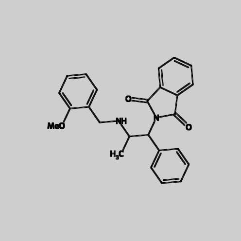 COc1ccccc1CNC(C)C(c1ccccc1)N1C(=O)c2ccccc2C1=O